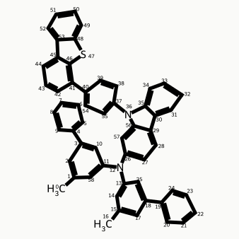 Cc1cc(-c2ccccc2)cc(N(c2cc(C)cc(-c3ccccc3)c2)c2ccc3c4ccccc4n(-c4ccc(-c5cccc6c5sc5ccccc56)cc4)c3c2)c1